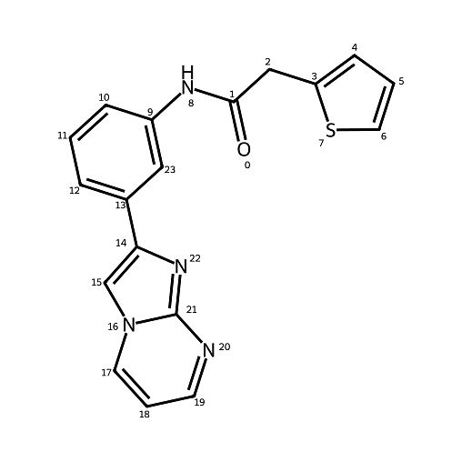 O=C(Cc1cccs1)Nc1cccc(-c2cn3cccnc3n2)c1